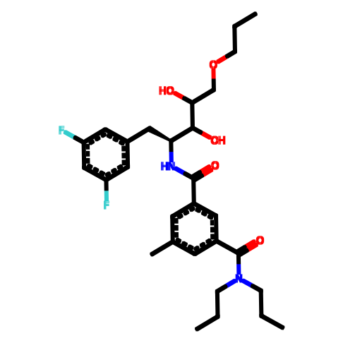 CCCOCC(O)C(O)[C@H](Cc1cc(F)cc(F)c1)NC(=O)c1cc(C)cc(C(=O)N(CCC)CCC)c1